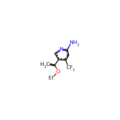 C=C(OCC)c1cnc(N)cc1C(F)(F)F